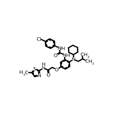 Cc1cnc(NC(=O)COc2ccc(N(CC(C)C)C3CCCCC3)c(NC(=O)Nc3ccc(Cl)cc3)c2)s1